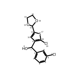 OC(c1cccc(Cl)c1)c1cc(C2OCCO2)sc1Cl